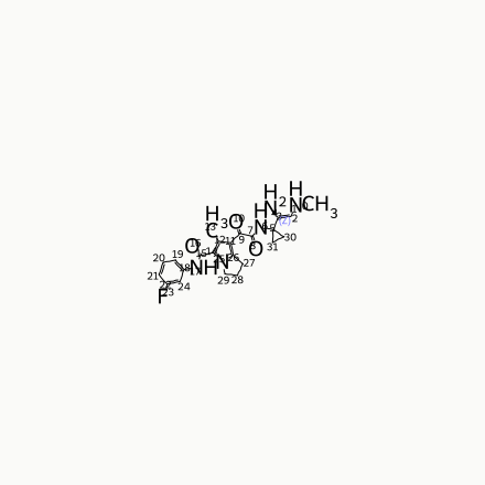 CN/C=C(\N)C1(NC(=O)C(=O)c2c(C)c(C(=O)Nc3cccc(F)c3)n3c2CCC3)CC1